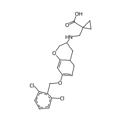 O=C(O)C1(CNC2COC3=CC(OCc4c(Cl)cccc4Cl)=CCC3C2)CC1